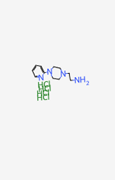 Cl.Cl.Cl.Cl.NCCN1CCN(c2ccccn2)CC1